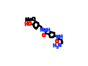 COc1cc(/C=N/NC(=O)c2ccc(NC(=O)/C=C\N)cc2)ccc1O